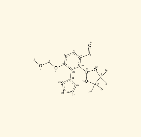 COCOc1ccc(C=O)c(B2OC(C)(C)C(C)(C)O2)c1-c1cccs1